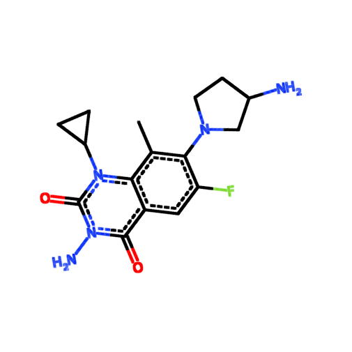 Cc1c(N2CCC(N)C2)c(F)cc2c(=O)n(N)c(=O)n(C3CC3)c12